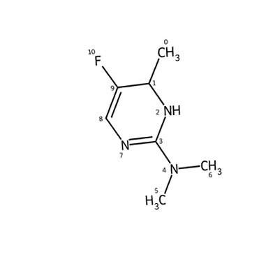 CC1NC(N(C)C)=NC=C1F